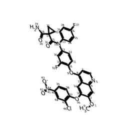 COc1cc2nccc(Oc3ccc(N(C(=O)C4(C(N)=O)CC4)c4ccc(F)cc4)cc3F)c2cc1Oc1ccc([N+](=O)[O-])cc1Cl